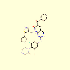 CC1CNCCN1c1ccc(Nc2ncc3cc(C(=O)c4ccccc4)c(=O)n(Cc4cnsc4C4=CCCC4)c3n2)cc1F